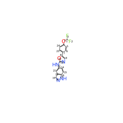 FC(F)Oc1ccc(-c2cnc(Nc3ccc4[nH]ncc4c3)o2)cc1